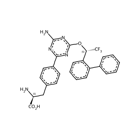 Nc1nc(O[C@@H](c2ccccc2-c2ccccc2)C(F)(F)F)nc(-c2ccc(C[C@H](N)C(=O)O)cc2)n1